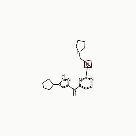 c1cc(Nc2cc(C3CCCC3)[nH]n2)nc(N2CC3(CN4CCCC4)CC2C3)n1